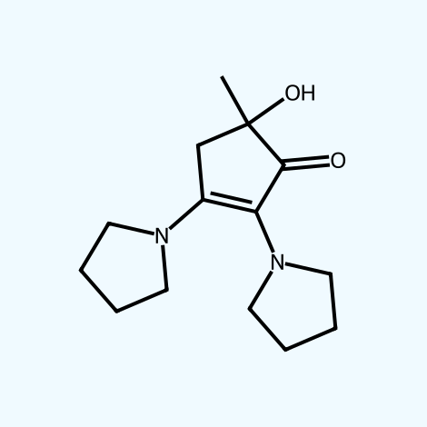 CC1(O)CC(N2CCCC2)=C(N2CCCC2)C1=O